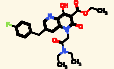 CCOC(=O)c1c(O)c2ncc(Cc3ccc(F)cc3)cc2n(CC(=O)N(CC)CC)c1=O